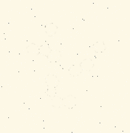 c1ccc(-c2ccc3ccc(N(c4ccc5sc6ccc7ccccc7c6c5c4)c4ccc5c(c4)c4ccccc4n5-c4ccccc4)cc3c2)cc1